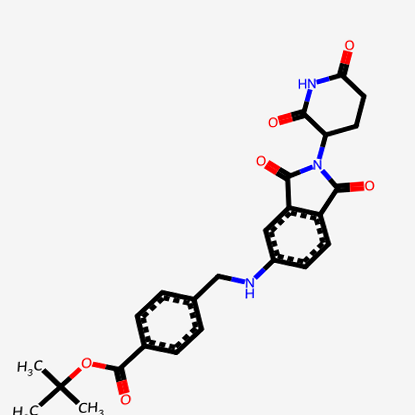 CC(C)(C)OC(=O)c1ccc(CNc2ccc3c(c2)C(=O)N(C2CCC(=O)NC2=O)C3=O)cc1